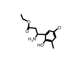 CCOC(=O)CC(N)c1cc(Cl)cc(C)c1O